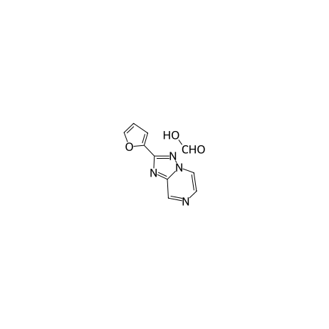 O=CO.c1coc(-c2nc3cnccn3n2)c1